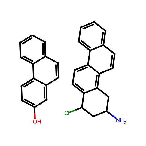 NC1Cc2c(ccc3c2ccc2ccccc23)C(Cl)C1.Oc1ccc2c(ccc3ccccc32)c1